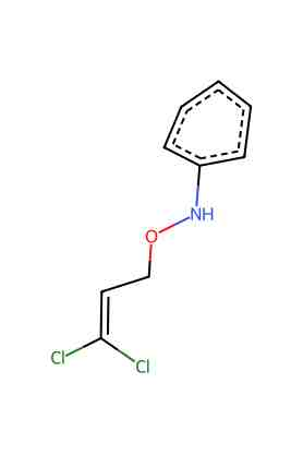 ClC(Cl)=CCONc1ccccc1